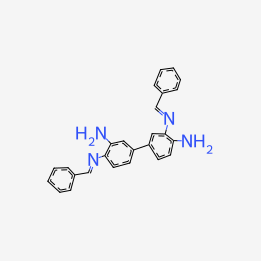 Nc1cc(-c2ccc(N)c(N=Cc3ccccc3)c2)ccc1N=Cc1ccccc1